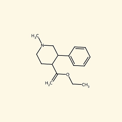 C=C(OCC)C1CCN(C)CC1c1ccccc1